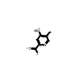 Cc1cnc(C(=O)I)cc1C(C)(C)C